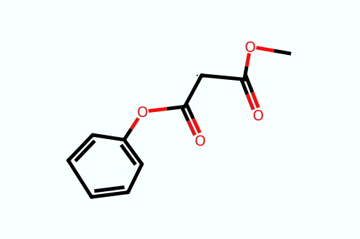 COC(=O)[CH]C(=O)Oc1ccccc1